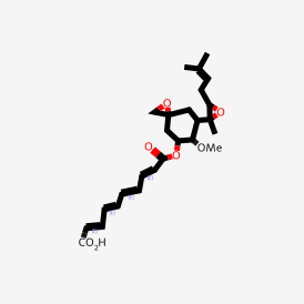 COC1C(OC(=O)/C=C/C=C/C=C/C=C/C(=O)O)CC2(CO2)CC1C1(C)OC1CC=C(C)C